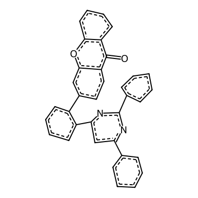 O=c1c2ccccc2oc2cc(-c3ccccc3-c3cc(-c4ccccc4)nc(-c4ccccc4)n3)ccc12